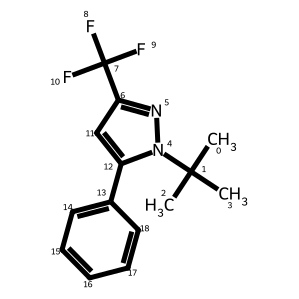 CC(C)(C)n1nc(C(F)(F)F)cc1-c1ccccc1